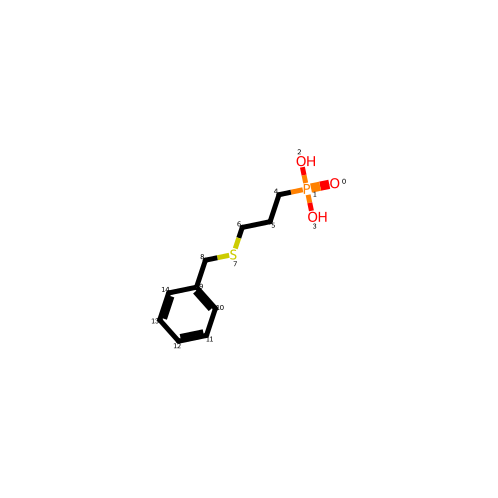 O=P(O)(O)CCCSCc1ccccc1